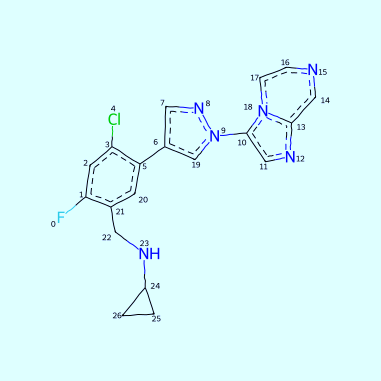 Fc1cc(Cl)c(-c2cnn(-c3cnc4cnccn34)c2)cc1CNC1CC1